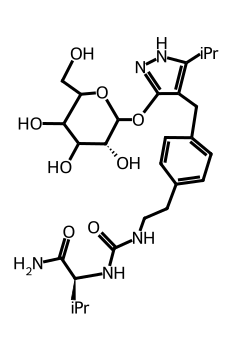 CC(C)c1[nH]nc(OC2OC(CO)C(O)C(O)[C@H]2O)c1Cc1ccc(CCNC(=O)N[C@H](C(N)=O)C(C)C)cc1